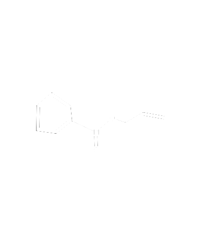 C=CCO[PH](=O)c1ccccc1